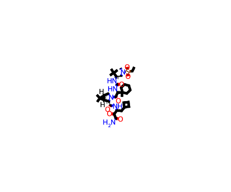 CCS(=O)(=O)N(C)C[C@@H](NC(=O)N[C@H](C(=O)N1C[C@H]2[C@@H]([C@H]1C(=O)NC(CC1CCC1)C(=O)C(N)=O)C2(C)C)C1(C)CCCCC1)C(C)(C)C